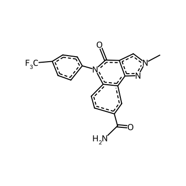 Cn1cc2c(=O)n(-c3ccc(C(F)(F)F)cc3)c3ccc(C(N)=O)cc3c2n1